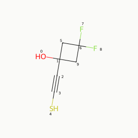 OC1(C#CS)CC(F)(F)C1